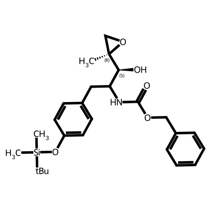 CC(C)(C)[Si](C)(C)Oc1ccc(CC(NC(=O)OCc2ccccc2)[C@H](O)[C@@]2(C)CO2)cc1